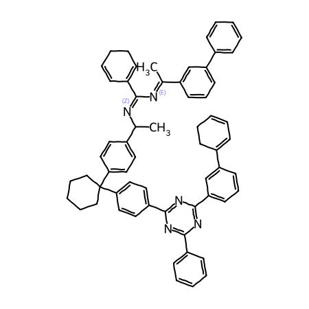 C/C(=N\C(=N/C(C)c1ccc(C2(c3ccc(-c4nc(-c5ccccc5)nc(-c5cccc(C6=CC=CCC6)c5)n4)cc3)CCCCC2)cc1)C1=CCCC=C1)c1cccc(-c2ccccc2)c1